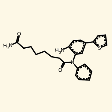 NC(=O)CCCCCCC(=O)N(c1ccccc1)c1cc(-c2cccs2)ccc1N